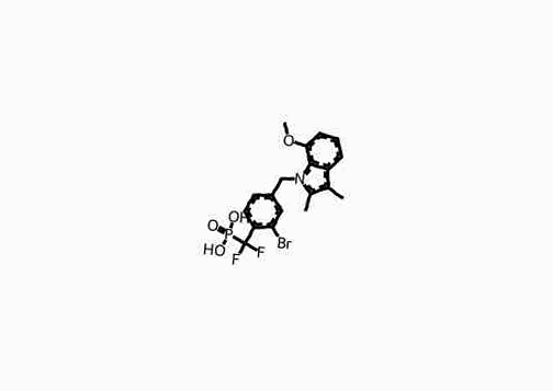 COc1cccc2c(C)c(C)n(Cc3ccc(C(F)(F)P(=O)(O)O)c(Br)c3)c12